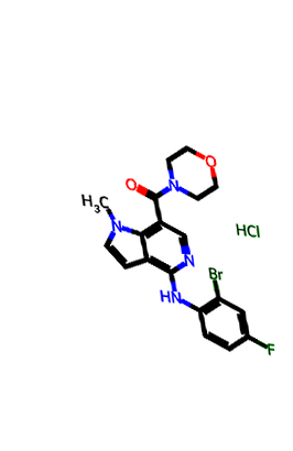 Cl.Cn1ccc2c(Nc3ccc(F)cc3Br)ncc(C(=O)N3CCOCC3)c21